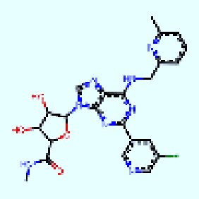 CNC(=O)[C@@H]1OC(n2cnc3c(NCc4cccc(C)n4)nc(-c4cncc(F)c4)nc32)C(O)C1O